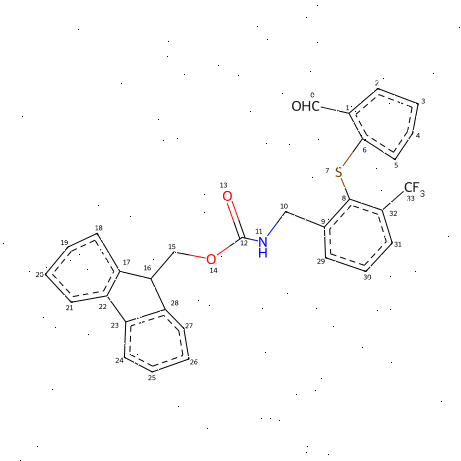 O=Cc1ccccc1Sc1c(CNC(=O)OCC2c3ccccc3-c3ccccc32)cccc1C(F)(F)F